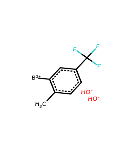 [B+2]c1cc(C(F)(F)F)ccc1C.[OH-].[OH-]